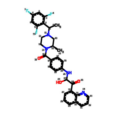 CC(c1c(F)cc(F)cc1F)N1CCN(C(=O)c2ccc(NC(O)C(=O)c3cccc4cccnc34)cc2)[C@H](C)C1